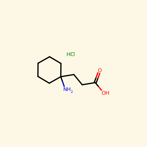 Cl.NC1(CCC(=O)O)CCCCC1